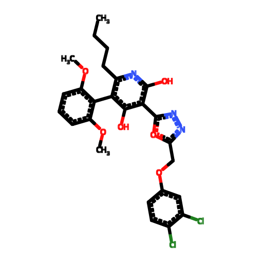 CCCCc1nc(O)c(-c2nnc(COc3ccc(Cl)c(Cl)c3)o2)c(O)c1-c1c(OC)cccc1OC